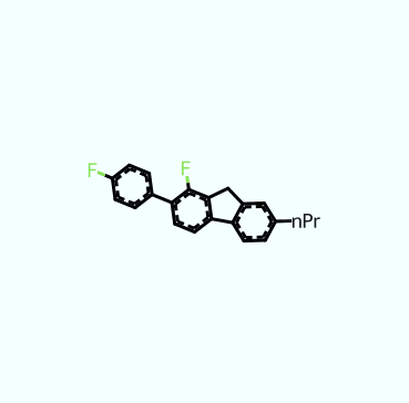 CCCc1ccc2c(c1)Cc1c-2ccc(-c2ccc(F)cc2)c1F